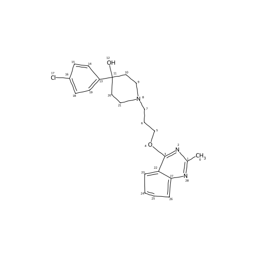 Cc1nc(OCCCN2CCC(O)(c3ccc(Cl)cc3)CC2)c2ccccc2n1